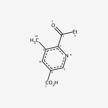 CCC(=O)c1ncc(C(=O)O)cc1C